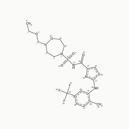 CCOCC1CCN(S(=O)(=O)NC(=O)c2coc(Nc3cc(C(F)(F)F)ccc3C)n2)CCO1